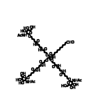 CC(=O)NC1C(OCCCCC(=O)NCCCNC(=O)CCOCC(COCCC(=O)NCCCNC(=O)CCCCOC2OC(CO)C(O)C(O)C2NC(C)=O)(COCCC(=O)NCCCNC(=O)CCCCOC2OC(CO)C(O)C(O)C2NC(C)=O)NC(=O)CCCCCCCCCCC=O)OC(CO)C(O)C1O